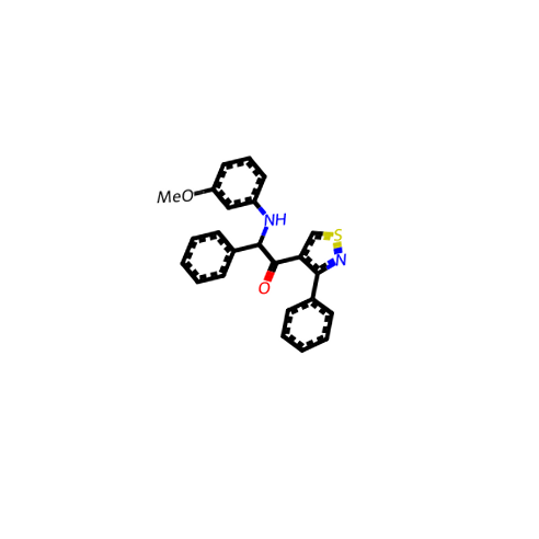 COc1cccc(NC(C(=O)c2csnc2-c2ccccc2)c2ccccc2)c1